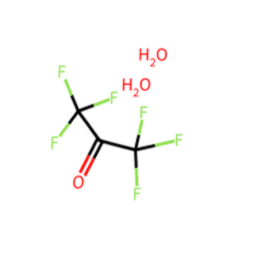 O.O.O=C(C(F)(F)F)C(F)(F)F